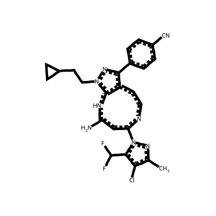 Cc1nn(-c2cc(N)[nH]c3c(ccn2)c(-c2ccc(C#N)cc2)nn3CCC2CC2)c(C(F)F)c1Cl